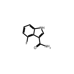 NC(=O)c1c[nH]c2cccc(F)c12